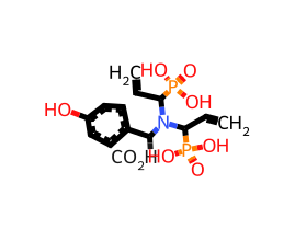 C=CC(N(C(C(=O)O)c1ccc(O)cc1)C(C=C)P(=O)(O)O)P(=O)(O)O